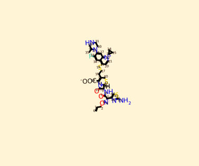 C=CCO/N=C(\C(=O)NC1C(=O)N2C(C(=O)[O-])=C(CCSc3cc[n+](C4CC4)c4cc(N5CCNCC5C)c(F)cc34)CS[C@@H]12)c1csc(N)n1